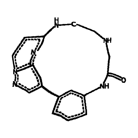 O=C1CNCCNc2ccn3ncc(c3n2)-c2cccc(c2)N1